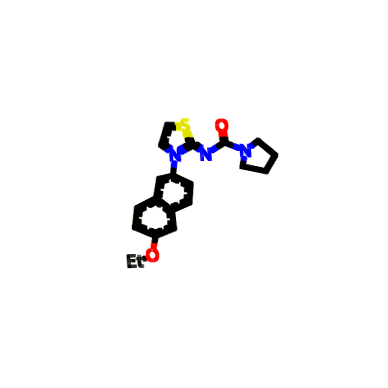 CCOc1ccc2cc(-n3ccs/c3=N\C(=O)N3CCCC3)ccc2c1